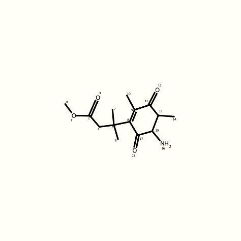 COC(=O)CC(C)(C)C1=C(C)C(=O)C(C)C(N)C1=O